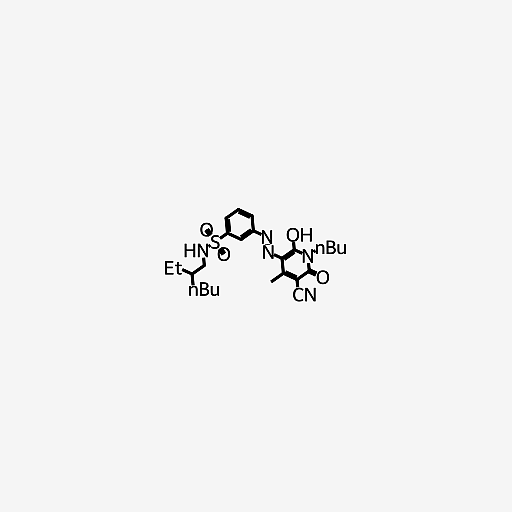 CCCCC(CC)CNS(=O)(=O)c1cccc(/N=N/c2c(C)c(C#N)c(=O)n(CCCC)c2O)c1